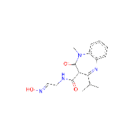 CC(C)C1=Nc2ccccc2N(C)C(=O)C1C(=O)NCC=NO